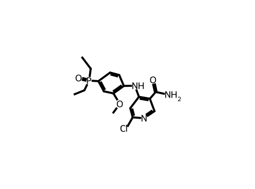 CCP(=O)(CC)c1ccc(Nc2cc(Cl)ncc2C(N)=O)c(OC)c1